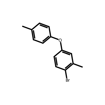 Cc1ccc(Oc2ccc(Br)c(C)c2)cc1